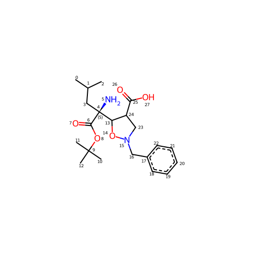 CC(C)C[C@@](N)(C(=O)OC(C)(C)C)C1ON(Cc2ccccc2)CC1C(=O)O